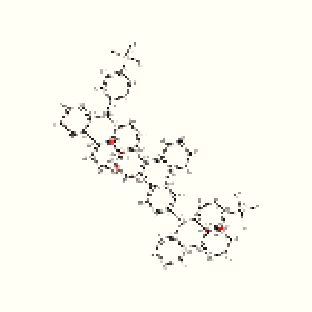 C[Si](C)(C)c1ccc(N(c2ccc3c(ccc4c5ccc(N(c6ccc([Si](C)(C)C)cc6)c6ccccc6-c6ccccc6)cc5c5ccccc5c34)c2)c2ccccc2-c2ccccc2)cc1